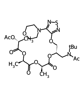 CC(=O)O[C@H](C)C(=O)O[C@H](C)C(=O)O[C@H](C)C(=O)O[C@H](COc1nsnc1N1CCOCC1)CN(C(C)=O)C(C)(C)C